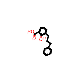 O=C(O)c1cccc(CCCc2ccccc2)c1O